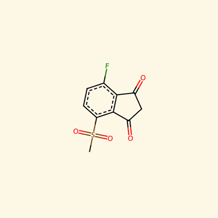 CS(=O)(=O)c1ccc(F)c2c1C(=O)CC2=O